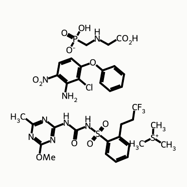 COc1nc(C)nc(NC(=O)NS(=O)(=O)c2ccccc2CCC(F)(F)F)n1.C[S+](C)C.Nc1c([N+](=O)[O-])ccc(Oc2ccccc2)c1Cl.O=C(O)CNCP(=O)([O-])O